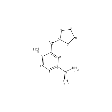 C[C@H](N)c1cccc(OC2CCCC2)c1.Cl